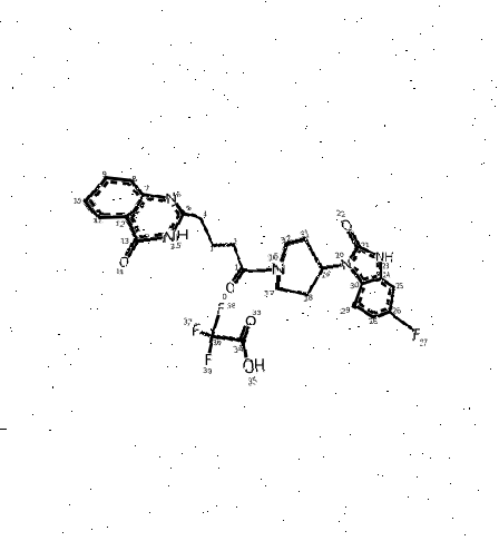 O=C(CCCc1nc2ccccc2c(=O)[nH]1)N1CCC(n2c(=O)[nH]c3cc(F)ccc32)CC1.O=C(O)C(F)(F)F